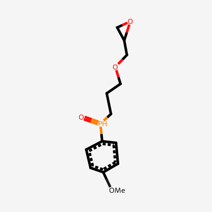 COc1ccc([PH](=O)CCCOCC2CO2)cc1